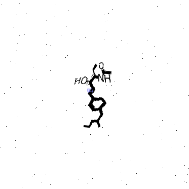 CCCC(C)Cc1ccc(/C=C/[C@H](O)[C@@H](CC)NC(C)=O)cc1